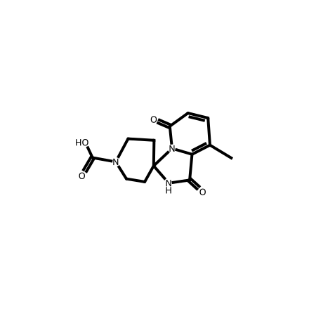 Cc1ccc(=O)n2c1C(=O)NC21CCN(C(=O)O)CC1